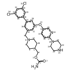 NC(=O)OCC1CCN(Cc2cc(Oc3ccc(N4CCNCC4)nc3)nc(-c3cc(Cl)cc(Cl)c3)c2)CC1